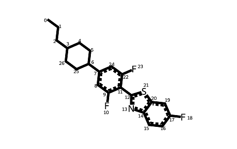 CCCC1CCC(c2cc(F)c(-c3nc4ccc(F)cc4s3)c(F)c2)CC1